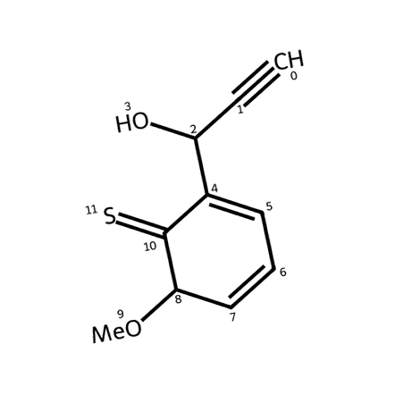 C#CC(O)C1=CC=CC(OC)C1=S